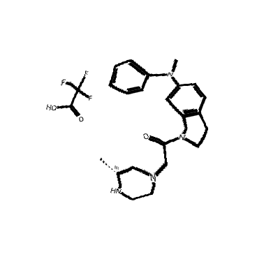 C[C@@H]1CN(CC(=O)N2CCc3ccc(N(C)c4ccccc4)cc32)CCN1.O=C(O)C(F)(F)F